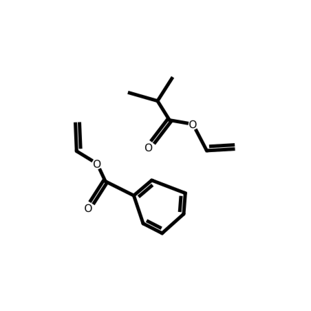 C=COC(=O)C(C)C.C=COC(=O)c1ccccc1